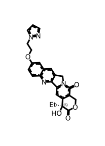 CC[C@@]1(O)C(=O)OCc2c1cc1n(c2=O)Cc2cc3cc(OCCn4cccn4)ccc3nc2-1